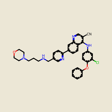 N#Cc1cnc2cc(-c3ccc(CNCCCN4CCOCC4)cn3)ccc2c1Nc1ccc(Oc2ccccc2)c(Cl)c1